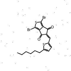 CCCCCCc1ccc(C=C2C(=O)c3c(Br)sc(Br)c3C2=O)s1